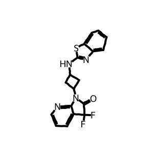 O=C1N(C2CC(Nc3nc4ccccc4s3)C2)c2ncccc2C1(F)F